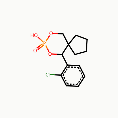 O=P1(O)OCC2(CCCC2)C(c2ccccc2Cl)O1